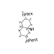 CCCCCC[C@@H]1CC[C@@H]2CC(CCCCC)CCC2C1